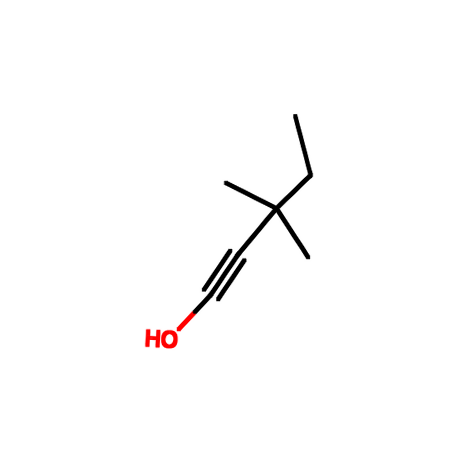 CCC(C)(C)C#CO